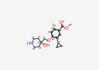 COC(=O)c1cc(C2CC2)c(OCC2(O)CCNCC2)cc1F